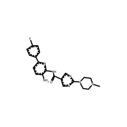 CN1CCN(c2ncc(C(=O)Nc3nc(-c4ccc(F)cc4)ccc3N)cn2)CC1